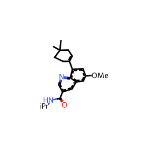 COc1cc(C2=CCC(C)(C)CC2)c2ncc(C(=O)NC(C)C)cc2c1